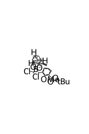 C#C[C@@]12O[B-](Cc3cccc(C(=O)OC(C)(C)C)c3OC)(C(Cl)Cl)O[C@@H]1C[C@@H]1C[C@H]2C1(C)C